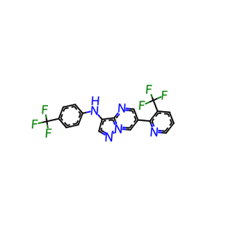 FC(F)(F)c1ccc(Nc2cnn3cc(-c4ncccc4C(F)(F)F)cnc23)cc1